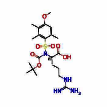 COc1cc(C)c(S(=O)(=O)N(C(=O)OC(C)(C)C)[C@@H](CCCNC(=N)N)C(=O)O)c(C)c1C